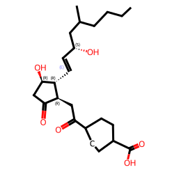 CCCCC(C)C[C@H](O)/C=C/[C@H]1[C@H](O)CC(=O)[C@@H]1CC(=O)C1CCC(C(=O)O)CC1